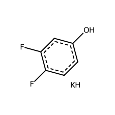 Oc1ccc(F)c(F)c1.[KH]